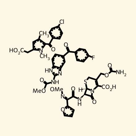 CO/N=C(\C(=O)N[C@@H]1C(=O)N2C(C(=O)O)=C(COC(N)=O)CS[C@H]12)c1ccco1.COC(=O)Nc1nc2cc(C(=O)c3ccc(F)cc3)ccc2[nH]1.Cc1cc(CC(=O)O)n(C)c1C(=O)c1ccc(Cl)cc1